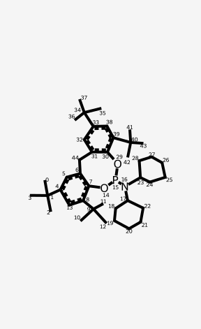 CC(C)(C)c1cc2c(c(C(C)(C)C)c1)OP(N(C1CCCCC1)C1CCCCC1)Oc1c(cc(C(C)(C)C)cc1C(C)(C)C)C2